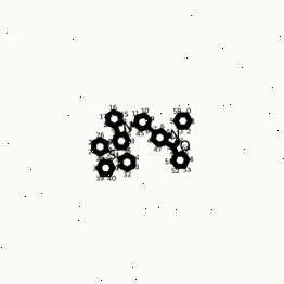 c1ccc(-n2c3cc(-c4cccc(-n5c6ccccc6c6cc([Si](c7ccccc7)(c7ccccc7)c7ccccc7)ccc65)c4)ccc3c3c4ccccc4oc32)cc1